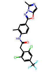 Cc1cc(-c2nn3c(C)ncc3o2)ccc1NC(=O)Cc1c(Cl)cc(C(F)(F)F)cc1Cl